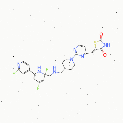 O=C1NC(=O)/C(=C/c2ccnc(N3CCC(CNCC4(F)C=C(F)C=C(c5ccnc(F)c5)N4)CC3)n2)S1